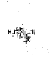 CNc1nc(Nc2cc3c(cc2OC)CN(C)CC3)nnc1C(N)=O